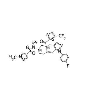 CC(C)N([C@H]1CCC2=Cc3c(cnn3-c3ccc(F)cc3)C[C@]2(C(=O)c2ncc(C(F)(F)F)s2)C1)S(=O)(=O)c1cnn(C)c1